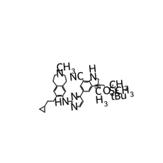 CN1CCc2cc(CCC3CC3)c(Nc3nccc(-c4cc(C#N)c5c(c4)[C@@](C)(CO[Si](C)(C)C(C)(C)C)CN5)n3)cc2CC1